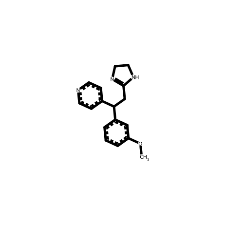 COc1cccc(C(CC2=NCCN2)c2ccncc2)c1